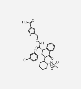 CS(=O)(=O)N[C@@H]1CCCC[C@H]1N1C(=O)c2ccccc2[C@H](C(=O)NOCc2cc(C(=O)O)cs2)[C@H]1c1ccc(Cl)cc1Cl